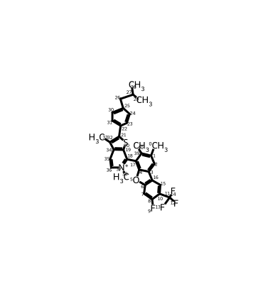 Cc1cc2c(oc3cc(F)c(C(F)(F)F)cc32)c(-c2c3sc(-c4ccc(CC(C)C)cc4)c(C)c3cc[n+]2C)c1C